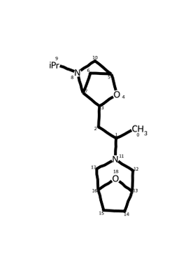 CC(CC1OC2CC1N(C(C)C)C2)N1CC2CCC(C1)O2